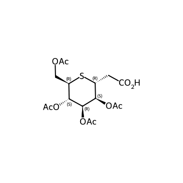 CC(=O)OC[C@H]1S[C@H](CC(=O)O)[C@@H](OC(C)=O)[C@@H](OC(C)=O)[C@@H]1OC(C)=O